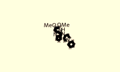 COc1cc2nc3c(c(NC4CCN(C5CCCCC5)CC4)c2nc1OC)CCC3